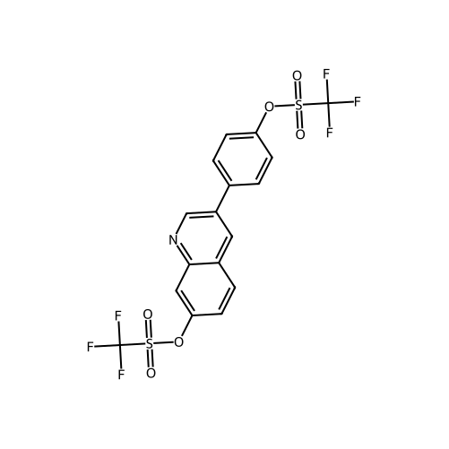 O=S(=O)(Oc1ccc(-c2cnc3cc(OS(=O)(=O)C(F)(F)F)ccc3c2)cc1)C(F)(F)F